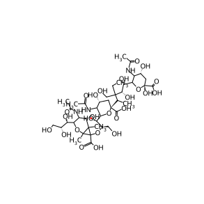 CCC(CO)(C(C)[C@]1(C(=O)O)C[C@@H](O)C(NC(C)=O)C([C@H](O)[C@@H](CO)OC2(C(=O)O)C3(C)OC([C@H](O)[C@H](O)CO)C(NC(C)=O)[C@H](O)C32C)O1)[C@@H](O)[C@@H](O)C1O[C@@](O)(C(=O)O)C[C@@H](O)C1NC(C)=O